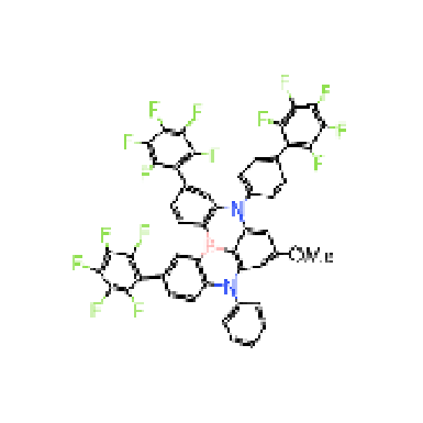 COc1cc2c3c(c1)N(c1ccc(-c4c(F)c(F)c(F)c(F)c4F)cc1)c1cc(-c4c(F)c(F)c(F)c(F)c4F)ccc1B3c1cc(-c3c(F)c(F)c(F)c(F)c3F)ccc1N2c1ccccc1